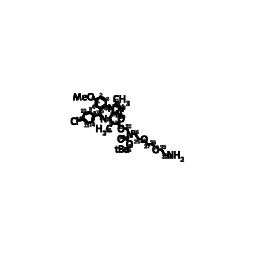 COc1ccc2c(c1)C(c1ccc(Cl)cc1)=N[C@@H]([C@@H](C)C(=O)OCN(CCOCCOCCN)C(=O)OC(C)(C)C)c1nnc(C)n1-2